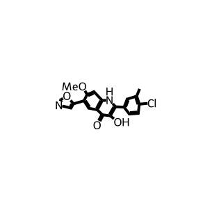 COc1cc2[nH]c(-c3ccc(Cl)c(C)c3)c(O)c(=O)c2cc1-c1cnco1